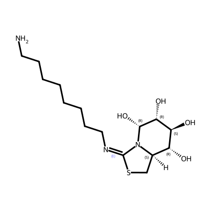 NCCCCCCCC/N=C1/SC[C@@H]2[C@@H](O)[C@H](O)[C@@H](O)[C@@H](O)N12